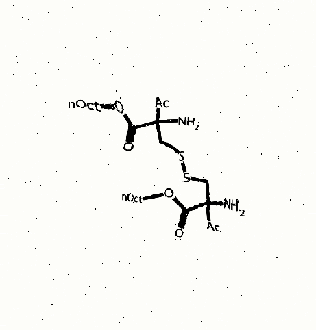 CCCCCCCCOC(=O)C(N)(CSSCC(N)(C(C)=O)C(=O)OCCCCCCCC)C(C)=O